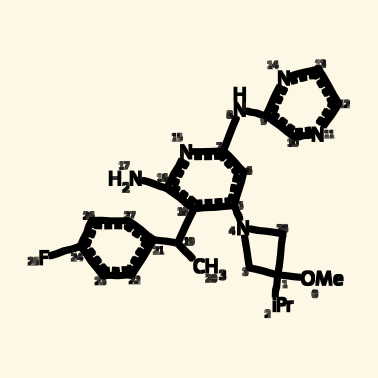 COC1(C(C)C)CN(c2cc(Nc3cnccn3)nc(N)c2C(C)c2ccc(F)cc2)C1